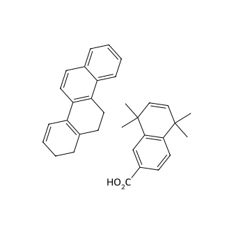 C1=CC2=C(CC1)CCc1c2ccc2ccccc12.CC1(C)C=CC(C)(C)c2cc(C(=O)O)ccc21